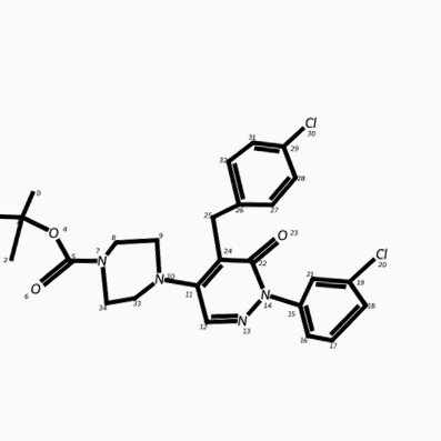 CC(C)(C)OC(=O)N1CCN(c2cnn(-c3cccc(Cl)c3)c(=O)c2Cc2ccc(Cl)cc2)CC1